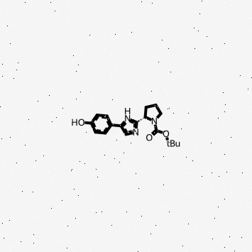 CC(C)(C)OC(=O)N1CCC[C@H]1c1ncc(-c2ccc(O)cc2)[nH]1